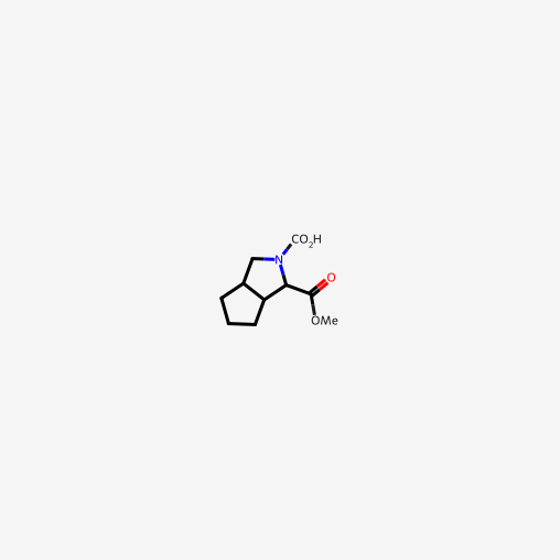 COC(=O)C1C2CCCC2CN1C(=O)O